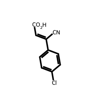 N#CC(=CC(=O)O)c1ccc(Cl)cc1